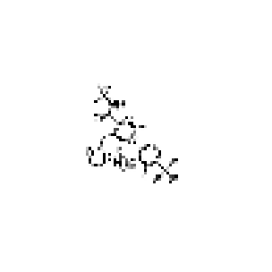 Cc1nc(N[C@H](C)c2cccc(C(F)(F)F)c2C)c(CC2OCCO2)c(C(=O)NC2(C)CC2)n1